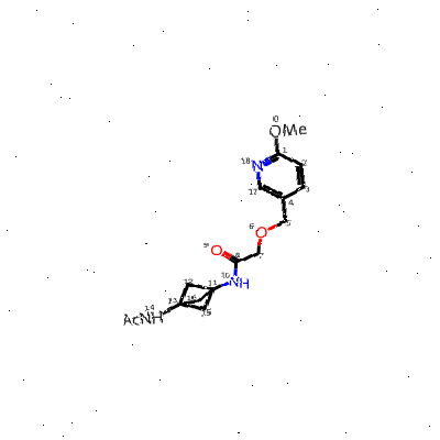 COc1ccc(COCC(=O)NC23CC(NC(C)=O)(C2)C3)cn1